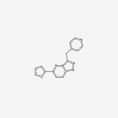 c1csc(-c2ccc3nnc(Cc4ccncc4)n3n2)c1